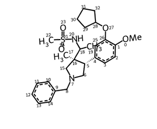 COc1ccc([C@@H]2CN(Cc3ccccc3)C[C@@]2(C)C(C)NS(C)(=O)=O)cc1OC1CCCC1